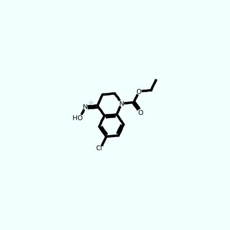 CCOC(=O)N1CC/C(=N/O)c2cc(Cl)ccc21